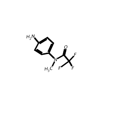 CN(C(=O)C(F)(F)F)c1ccc(N)cc1